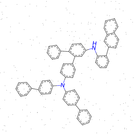 c1ccc(-c2ccc(N(c3ccc(-c4ccccc4)cc3)c3ccc(-c4cc(Nc5ccccc5-c5ccc6ccccc6c5)ccc4-c4ccccc4)cc3)cc2)cc1